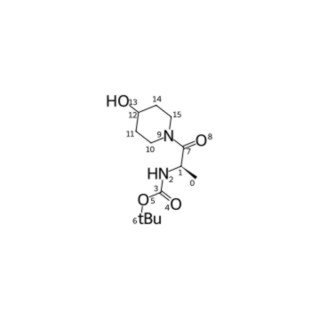 C[C@@H](NC(=O)OC(C)(C)C)C(=O)N1CCC(O)CC1